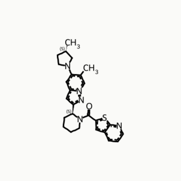 Cc1cn2nc([C@@H]3CCCCN3C(=O)c3cc4cccnc4s3)cc2cc1N1CC[C@H](C)C1